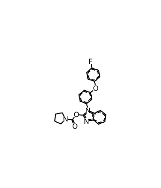 O=C(Oc1nc2ccccc2n1-c1cccc(Oc2ccc(F)cc2)c1)N1CCCC1